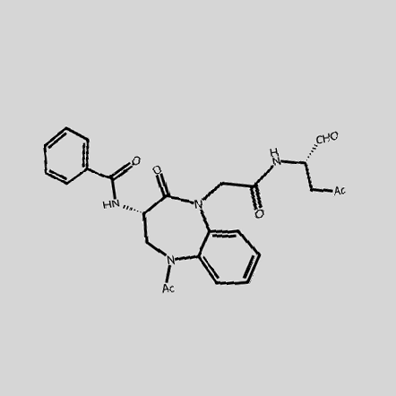 CC(=O)C[C@@H](C=O)NC(=O)CN1C(=O)[C@@H](NC(=O)c2ccccc2)CN(C(C)=O)c2ccccc21